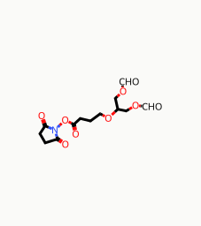 O=COCC(COC=O)OCCCC(=O)ON1C(=O)CCC1=O